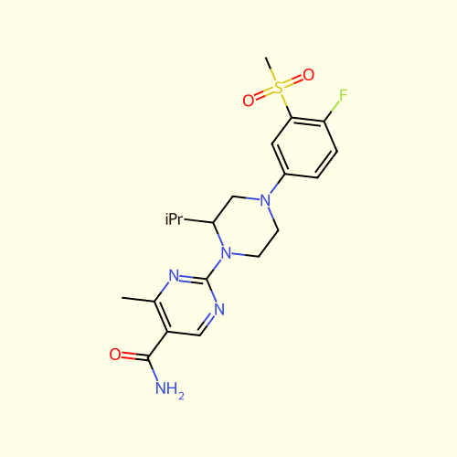 Cc1nc(N2CCN(c3ccc(F)c(S(C)(=O)=O)c3)CC2C(C)C)ncc1C(N)=O